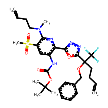 C=CCCN(C)c1nc(-c2nnc(C(CCC=C)(OCc3ccccc3)C(F)(F)F)o2)c(NC(=O)OC(C)(C)C)cc1S(C)(=O)=O